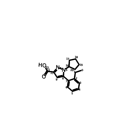 CCc1ccccc1-c1cc(C(=O)O)nn1C1CCCC1